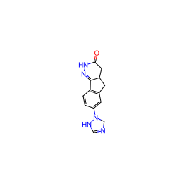 O=C1CC2Cc3cc(N4CN=CN4)ccc3C2=NN1